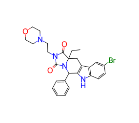 CCC12Cc3c([nH]c4ccc(Br)cc34)C(c3ccccc3)N1C(=O)N(CCN1CCOCC1)C2=O